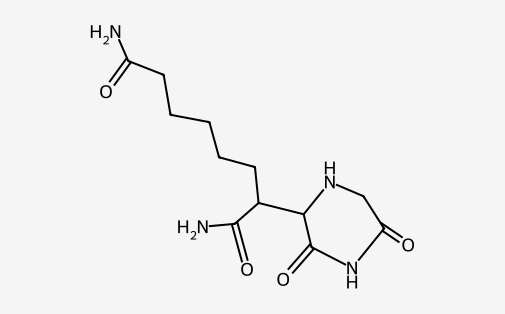 NC(=O)CCCCCC(C(N)=O)C1NCC(=O)NC1=O